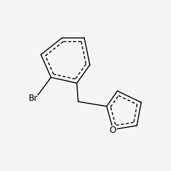 Brc1ccccc1Cc1ccco1